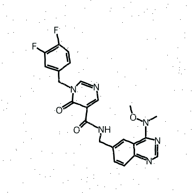 CON(C)c1ncnc2ccc(CNC(=O)c3cncn(Cc4ccc(F)c(F)c4)c3=O)cc12